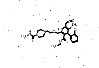 CCOC(=O)C1=C(COCCN2CCN(C(=S)NC)CC2)NC(C=C=O)=C(OC)C1c1ccccc1Cl